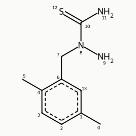 Cc1ccc(C)c(CN(N)C(N)=S)c1